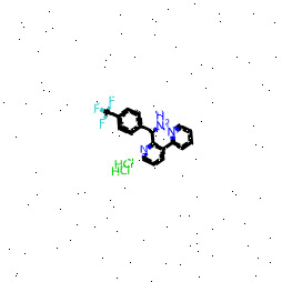 Cl.Cl.NC(c1ccc(C(F)(F)F)cc1)c1ncccc1-c1ccccn1